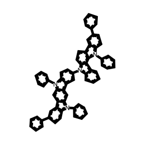 c1ccc(-c2ccc3c(c2)c2cc4c(cc2n3-c2ccccc2)c2cc(-n3c5ccccc5c5c3ccc3c6cc(-c7ccccc7)ccc6n(-c6ccccc6)c35)ccc2n4-c2ccccc2)cc1